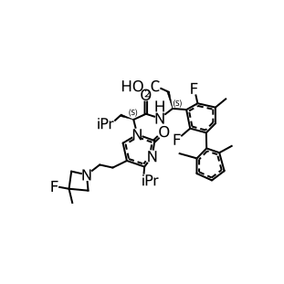 Cc1cc(-c2c(C)cccc2C)c(F)c([C@H](CC(=O)O)NC(=O)[C@H](CC(C)C)n2cc(CCN3CC(C)(F)C3)c(C(C)C)nc2=O)c1F